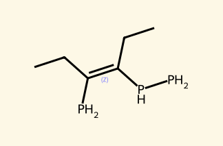 CC/C(P)=C(\CC)PP